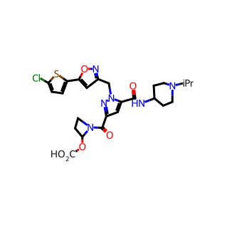 CC(C)N1CCC(NC(=O)c2cc(C(=O)N3CCC3OC(=O)O)nn2Cc2cc(-c3ccc(Cl)s3)on2)CC1